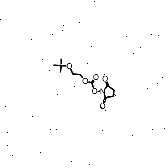 CC(C)(C)OCCOC(=O)ON1C(=O)CCC1=O